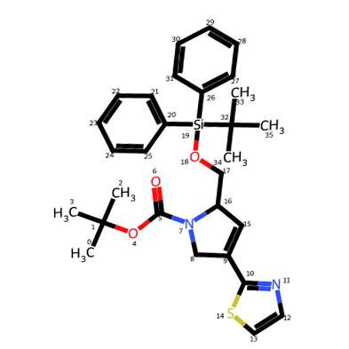 CC(C)(C)OC(=O)N1CC(c2nccs2)=CC1CO[Si](c1ccccc1)(c1ccccc1)C(C)(C)C